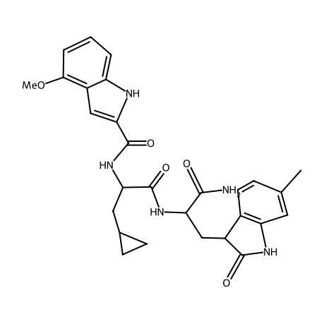 COc1cccc2[nH]c(C(=O)NC(CC3CC3)C(=O)NC(CC3C(=O)Nc4cc(C)ccc43)C(N)=O)cc12